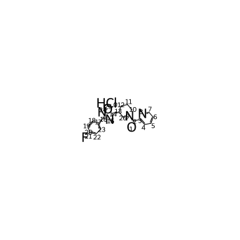 Cl.O=C(c1ccccn1)N1CCCC(c2nc(-c3ccc(F)cc3)no2)C1